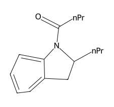 CCCC(=O)N1c2ccccc2CC1CCC